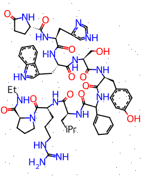 CCNC(=O)[C@@H]1CCCN1C(=O)[C@H](CCCNC(=N)N)NC(=O)[C@H](CC(C)C)NC(=O)C(NC(=O)[C@H](Cc1ccc(O)cc1)NC(=O)[C@H](CO)NC(=O)[C@H](Cc1c[nH]c2ccccc12)NC(=O)[C@H](Cc1c[nH]cn1)NC(=O)[C@@H]1CCC(=O)N1)C1=CCC=CC1